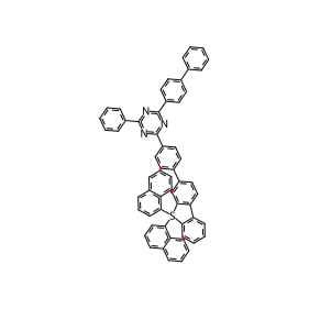 c1ccc(-c2ccc(-c3nc(-c4ccccc4)nc(-c4ccc(-c5ccc6c(c5)S(c5cccc7ccccc57)(c5cccc7ccccc57)c5ccccc5-6)cc4)n3)cc2)cc1